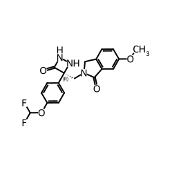 COc1ccc2c(c1)C(=O)N(C[C@@]1(c3ccc(OC(F)F)cc3)NNC1=O)C2